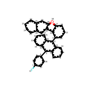 Fc1ccc(-c2c3ccccc3c(-c3cccc4oc5cc6ccccc6cc5c34)c3ccccc23)cc1